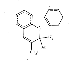 C1=CCCC=C1.CC(=O)C1(C(F)(F)F)Oc2ccccc2C=C1C(=O)O